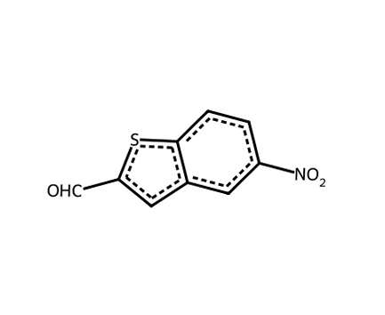 O=Cc1cc2cc([N+](=O)[O-])ccc2s1